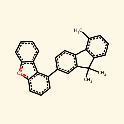 Cc1cccc2c1-c1ccc(-c3cccc4oc5ccccc5c34)cc1C2(C)C